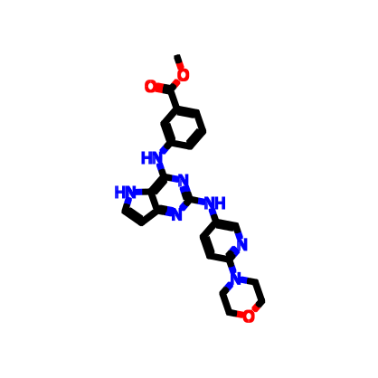 COC(=O)c1cccc(Nc2nc(Nc3ccc(N4CCOCC4)nc3)nc3cc[nH]c23)c1